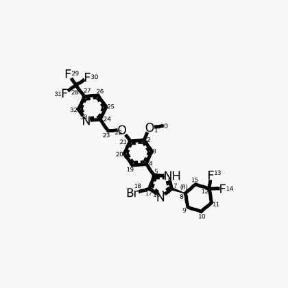 COc1cc(-c2[nH]c([C@@H]3CCCC(F)(F)C3)nc2Br)ccc1OCc1ccc(C(F)(F)F)cn1